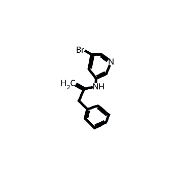 C=C(Cc1ccccc1)Nc1cncc(Br)c1